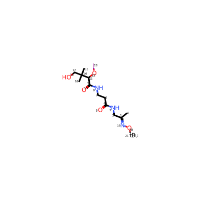 C/C(CNC(=O)CCNC(=O)C(OI)C(C)(C)CO)=N\OC(C)(C)C